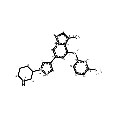 N#Cc1cnn2cc(-c3cnn(C4CCCNC4)c3)cc(Sc3cccc(N)n3)c12